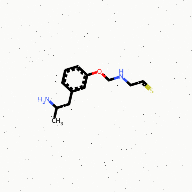 CC(N)Cc1cccc(OCNCC=S)c1